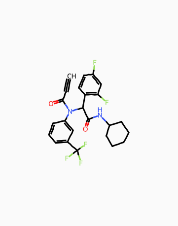 C#CC(=O)N(c1cccc(C(F)(F)F)c1)C(C(=O)NC1CCCCC1)c1ccc(F)cc1F